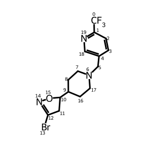 FC(F)(F)c1ccc(CN2CCC(C3CC(Br)=NO3)CC2)cn1